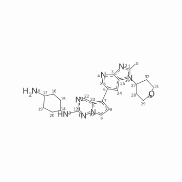 Cc1nc2ncc(-c3ccn4nc(NC5CCC(N)CC5)ncc34)cc2n1C1CCOCC1